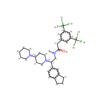 CN(CC(c1ccc2c(c1)CCC2)N1CCC(N2CCCCC2)CC1)C(=O)Cc1cc(C(F)(F)F)cc(C(F)(F)F)c1